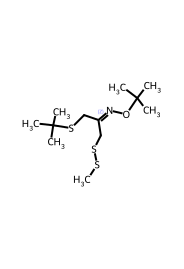 CSSC/C(CSC(C)(C)C)=N\OC(C)(C)C